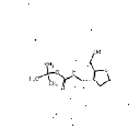 CC(C)(C)OC(=O)NC[C@H]1CCO[C@@H]1CO